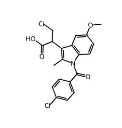 COc1ccc2c(c1)c(C(CCl)C(=O)O)c(C)n2C(=O)c1ccc(Cl)cc1